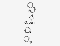 O=C(NC1CN(c2cnc3ccccc3n2)C1)c1cnc(-c2cccc(F)c2)nc1